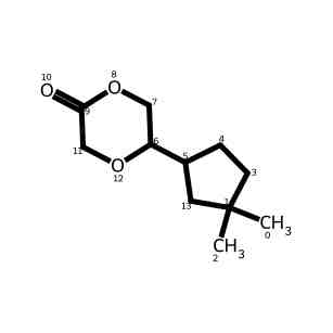 CC1(C)CCC(C2COC(=O)CO2)C1